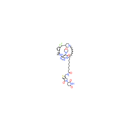 C[C@H]1Nc2ncnc3c2cc(N2CCOCC2)c(=O)n3C(CCCCCCCCC(=O)N(C)Cc2scc3c2CN(C2CCC(=O)NC2=O)C3=O)CCCCCCN2CCC(CC2)C(F)(F)c2cccc1c2